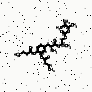 CCCC(=O)Oc1ccc(C[C@H](N)C(=O)O[C@@H](C)COC(=O)OC(C)C(C)C)cc1OC(=O)CCC